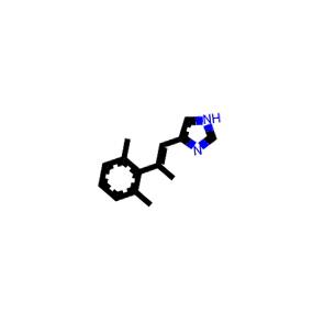 CC(=Cc1c[nH]cn1)c1c(C)cccc1C